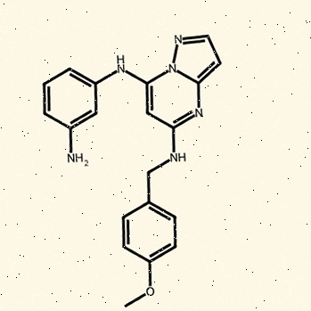 COc1ccc(CNc2cc(Nc3cccc(N)c3)n3nccc3n2)cc1